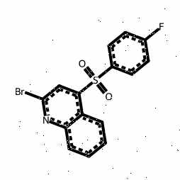 O=S(=O)(c1ccc(F)cc1)c1cc(Br)nc2ccccc12